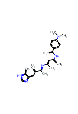 C=C(/C=C(C)/N=C(\C)C(=C)/C=c1/nc[nH]c1=C)NC(=C)c1ccc(N(C)C)cc1